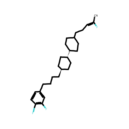 N#C/C(F)=C/CCC1CCC([C@H]2CC[C@H](CCCCc3ccc(F)c(F)c3)CC2)CC1